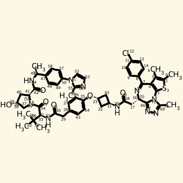 Cc1sc2c(c1C)C(c1ccc(Cl)cc1)=N[C@@H](CC(=O)N[C@H]1C[C@H](Oc3ccc(CC(=O)N[C@H](C(=O)N4C[C@H](O)C[C@H]4C(=O)N[C@@H](C)c4ccc(-n5ccnc5C)cc4)C(C)(C)C)cc3)C1)c1nnc(C)n1-2